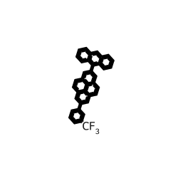 FC(F)(F)c1cccc(-c2cc3ccc4cc(-c5c6ccccc6cc6ccccc56)cc5ccc(c2)c3c45)c1